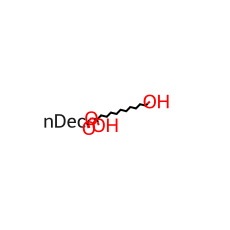 CCCCCCCCCCC(=O)OC(O)CCCCCCCCCCO